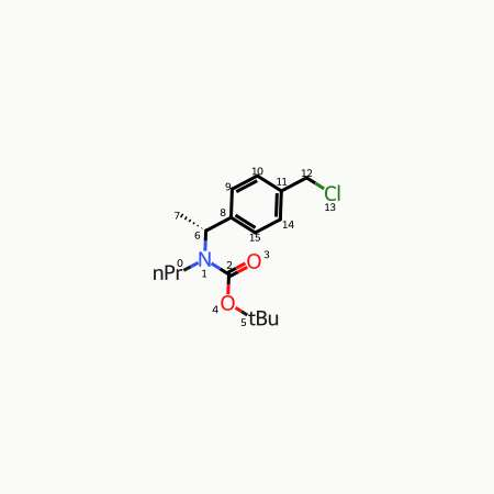 CCCN(C(=O)OC(C)(C)C)[C@H](C)c1ccc(CCl)cc1